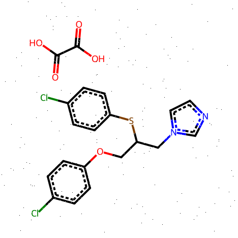 Clc1ccc(OCC(Cn2ccnc2)Sc2ccc(Cl)cc2)cc1.O=C(O)C(=O)O